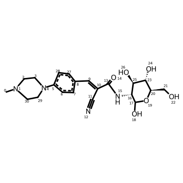 CN1CCN(c2ccc(/C=C(\C#N)C(=O)N[C@H]3C(O)O[C@H](CO)[C@@H](O)[C@@H]3O)cc2)CC1